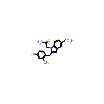 NC(=O)Cn1c(Cc2ccc(Cl)cc2C(F)(F)F)cc2cc(C(=O)O)ccc21